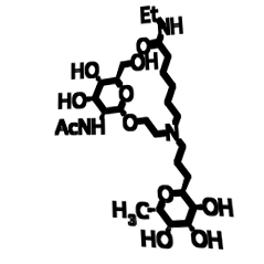 CCNC(=O)CCCCCN(CCC[C@@H]1O[C@@H](C)[C@@H](O)[C@@H](O)[C@@H]1O)CCO[C@@H]1O[C@H](CO)[C@@H](O)[C@H](O)[C@H]1NC(C)=O